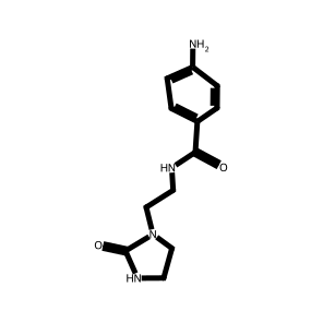 Nc1ccc(C(=O)NCCN2CCNC2=O)cc1